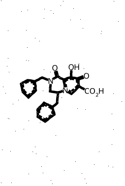 O=C(O)c1cn2c(c(O)c1=O)C(=O)N(Cc1ccccc1)CC2Cc1ccccc1